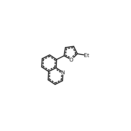 CCc1ccc(-c2cccc3cccnc23)o1